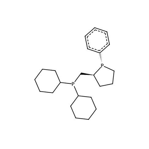 c1ccc([P@]2CCC[C@H]2CP(C2CCCCC2)C2CCCCC2)cc1